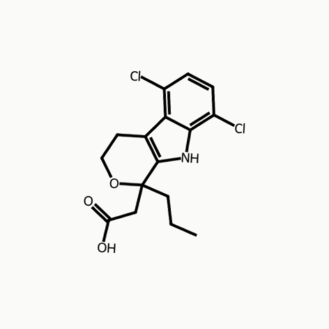 CCCC1(CC(=O)O)OCCc2c1[nH]c1c(Cl)ccc(Cl)c21